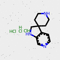 Cl.Cl.Cl.c1cc2c(cn1)NCC21CCNCC1